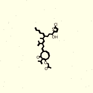 C=C/C=C/C=C(/CC[C@H](O)c1ccc(Cl)s1)C(C)/C=C(/C/C=C1\C=C=CC/C(OCC(C)=O)=C(/C(=C)C)C(=O)C1)C(=C)C